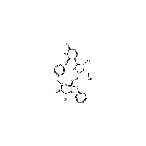 C[C@@H](NP(=S)(OC[C@H]1O[C@@H](n2ccc(=O)[nH]c2=O)[C@H](O)[C@@H]1CO)Oc1ccccc1)C(=O)OCc1ccccc1